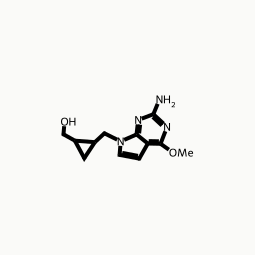 COc1nc(N)nc2c1ccn2CC1CC1CO